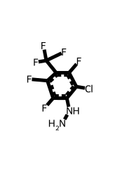 NNc1c(F)c(F)c(C(F)(F)F)c(F)c1Cl